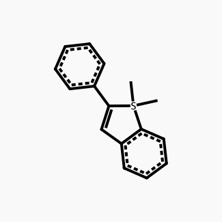 CS1(C)C(c2ccccc2)=Cc2ccccc21